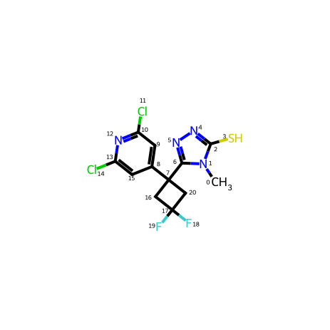 Cn1c(S)nnc1C1(c2cc(Cl)nc(Cl)c2)CC(F)(F)C1